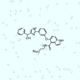 COCCNC(=O)c1c(Oc2cccc(-c3nc(C(O)c4ccccc4)c[nH]3)c2)ccc2[nH]ccc12